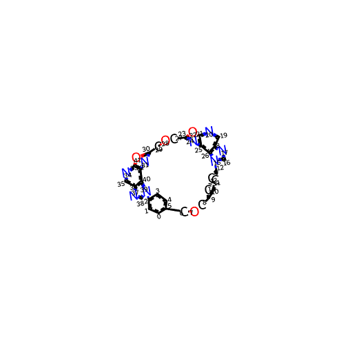 c1cc2ccc1COCc1ccc(cc1)-n1cnc3cnc4oc(nc4c31)COCc1nc3c(ncc4ncn-2c43)o1